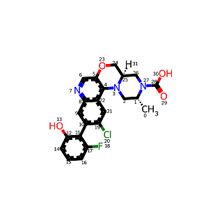 C[C@@H]1CN2c3c(cnc4cc(-c5c(O)cccc5F)c(Cl)cc34)OC[C@H]2CN1C(=O)O